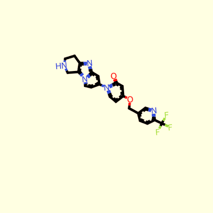 O=c1cc(OCc2ccc(C(F)(F)F)nc2)ccn1-c1ccn2c3c(nc2c1)CCNC3